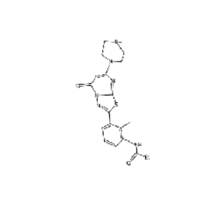 CCC(=O)Nc1cccc(-c2nn3c(=O)cc(N4CCNCC4)nc3s2)c1C